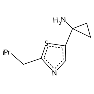 CC(C)Cc1ncc(C2(N)CC2)s1